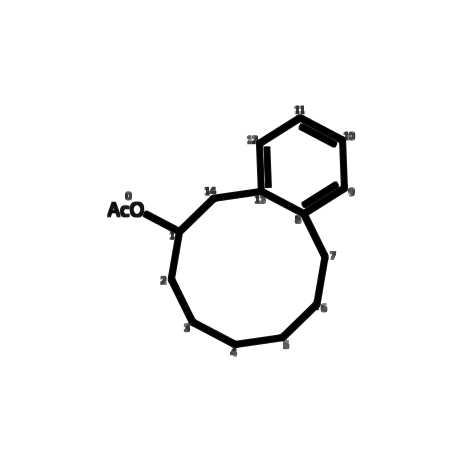 CC(=O)OC1CCCC[CH]Cc2ccccc2C1